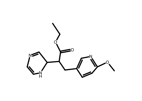 CCOC(=O)C(Cc1ccc(OC)nc1)C1C=NC=CN1